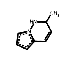 C[C]1C=Cc2cccn2N1